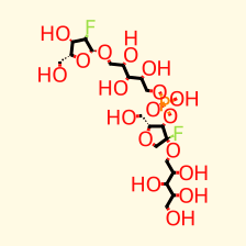 O=P(O)(OCC(O)C(O)C(O)CO[C@@H]1O[C@H](CO)[C@H](O)C1F)OC1[C@@H](CO)OC[C@@]1(F)OCC(O)C(O)C(O)CO